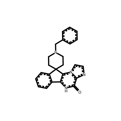 O=c1[nH]c2c(n3ccnc13)C1(CCN(Cc3ccccc3)CC1)c1ccccc1-2